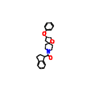 O=C(C1CCc2ccccc21)N1CCC2(CC1)CC(Oc1ccccc1)CO2